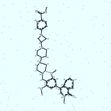 COC(=O)c1ccc(N2CC(N3CCC(N4CCN(Cc5c(OC)cc(-c6cn(C)c(=O)c7cnccc67)cc5OC)CC4)CC3)C2)cn1